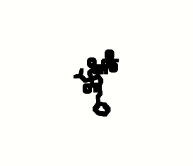 CC(C)CC1(CC(=O)O)C(=O)N(CCc2ccccc2)CC1CCOS(C)(=O)=O